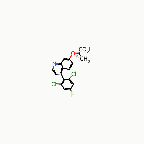 C[C@@H](Oc1ccc2c(-c3c(Cl)cc(F)cc3Cl)ccnc2c1)C(=O)O